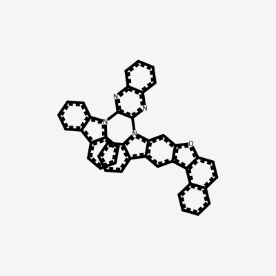 c1ccc2c(c1)ccc1oc3cc4c(cc3c12)c1ccccc1n4-c1nc2ccccc2nc1-n1c2ccccc2c2ccccc21